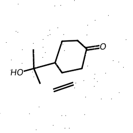 C=C.CC(C)(O)C1CCC(=O)CC1